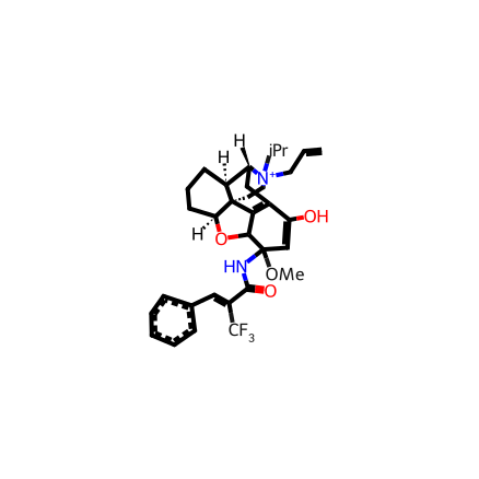 C=CC[N+]1(C(C)C)CC[C@@]23C4=C5C[C@@H]1[C@@H]2CCC[C@@H]3OC4C(NC(=O)C(=Cc1ccccc1)C(F)(F)F)(OC)C=C5O